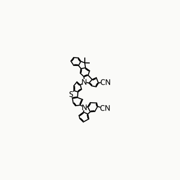 CC1(C)c2ccccc2-c2cc3c(cc21)c1cc(C#N)ccc1n3-c1ccc2sc3ccc(-n4c5ccccc5c5cc(C#N)ccc54)cc3c2c1